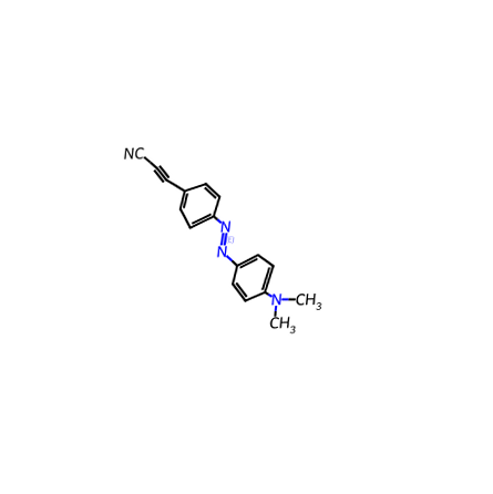 CN(C)c1ccc(/N=N/c2ccc(C#CC#N)cc2)cc1